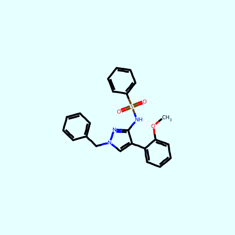 COc1ccccc1-c1cn(Cc2ccccc2)nc1NS(=O)(=O)c1ccccc1